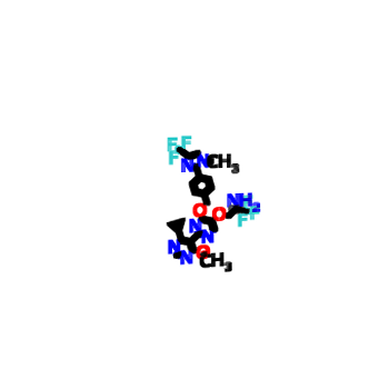 COc1ncnc(C2CC2)c1-c1ncc(OC[C@@H](N)C(F)(F)F)c(OCc2ccc(-c3nc(C(F)(F)F)cn3C)cc2)n1